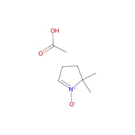 CC(=O)O.CC1(C)CCC=[N+]1[O-]